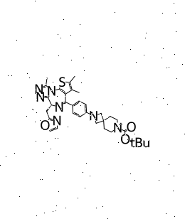 Cc1sc2c(c1C)C(c1ccc(N3CC4(CCN(C(=O)OC(C)(C)C)CC4)C3)cc1)=N[C@@H](Cc1ncco1)c1nnc(C)n1-2